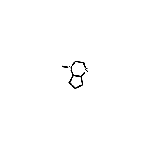 CN1CCSC2CCCC21